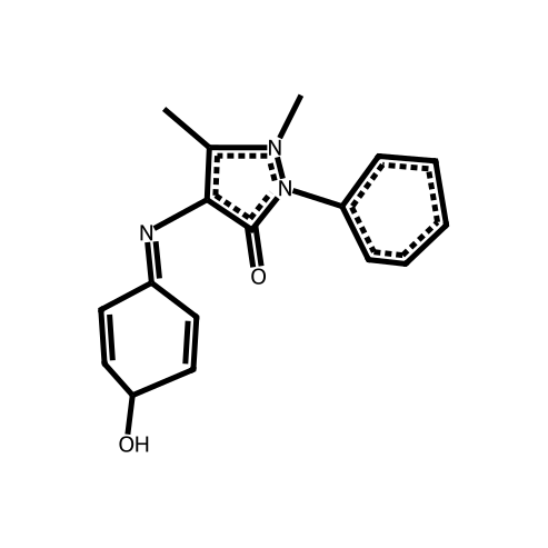 Cc1c(N=C2C=CC(O)C=C2)c(=O)n(-c2ccccc2)n1C